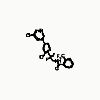 O=C(NCC(F)(F)c1ncc(-c2cncc(Cl)c2)cc1Cl)c1ccccc1C(F)(F)F